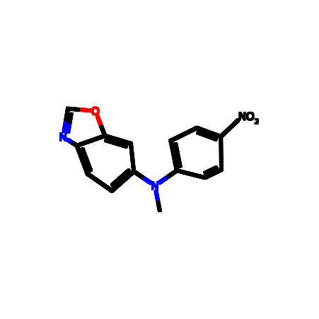 CN(c1ccc([N+](=O)[O-])cc1)c1ccc2ncoc2c1